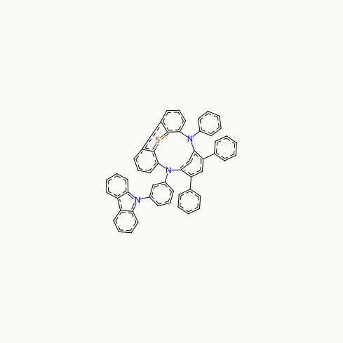 c1ccc(-c2cc(-c3ccccc3)c3cc2N(c2ccccc2)c2cccc4c2sc2c(cccc24)N3c2cccc(-n3c4ccccc4c4ccccc43)c2)cc1